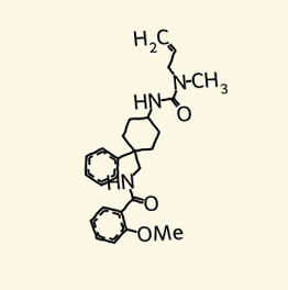 C=CCN(C)C(=O)NC1CCC(CNC(=O)c2ccccc2OC)(c2ccccc2)CC1